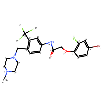 CN1CCN(Cc2ccc(NC(=O)COc3ccc(Br)cc3F)cc2C(F)(F)F)CC1